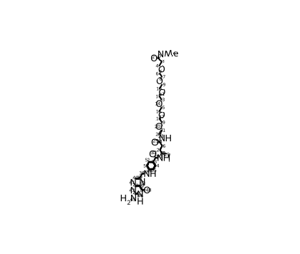 CNC(=O)CCOCCOCCOCCOCCOCCOCCNC(=O)CC[C@@H](C)NC(=O)c1ccc(NCc2cnc3nc(N)[nH]c(=O)c3n2)cc1